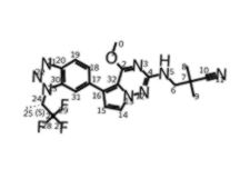 COc1nc(NCC(C)(C)C#N)nn2ccc(-c3ccc4nnn([C@@H](C)C(F)(F)F)c4c3)c12